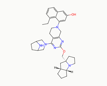 CCc1cccc2cc(O)cc(N3CCc4c(nc(OC[C@]56CCCN5[C@@H]5CCC[C@@H]5C6)nc4N4CC5CCC(C4)N5)C3)c12